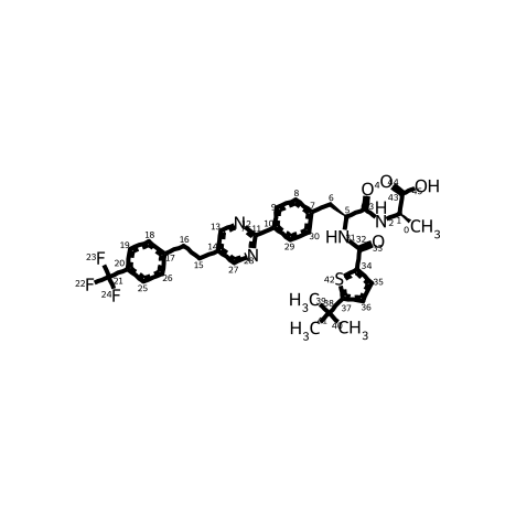 C[C@@H](NC(=O)[C@H](Cc1ccc(-c2ncc(CCc3ccc(C(F)(F)F)cc3)cn2)cc1)NC(=O)c1ccc(C(C)(C)C)s1)C(=O)O